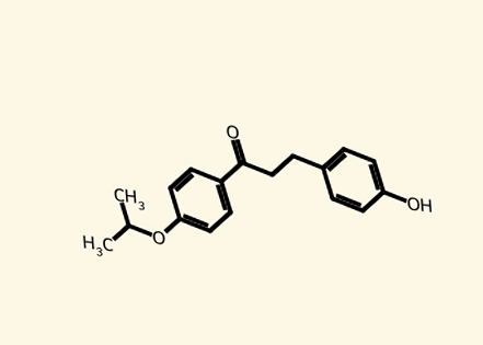 CC(C)Oc1ccc(C(=O)CCc2ccc(O)cc2)cc1